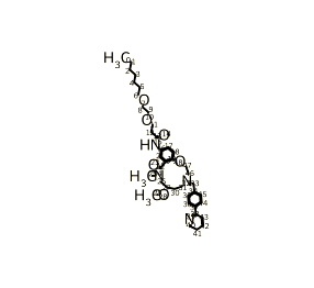 CCCCCCCOCCOCCC(=O)Nc1ccc2c(c1)C(=O)N(C)C[C@H](OC)CCN(Cc1ccc(C3=NCCC=C3)cc1)CCO2